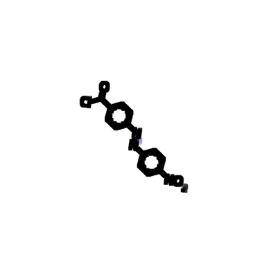 O=C(Cl)c1ccc(/N=N/c2ccc([N+](=O)[O-])cc2)cc1